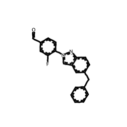 O=Cc1ccc(-n2cc3cc(Cc4ccccc4)ccc3n2)c(F)c1